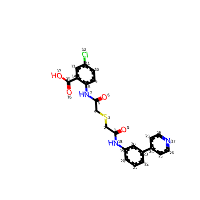 O=C(CSCC(=O)Nc1ccc(Cl)cc1C(=O)O)Nc1cccc(-c2ccncc2)c1